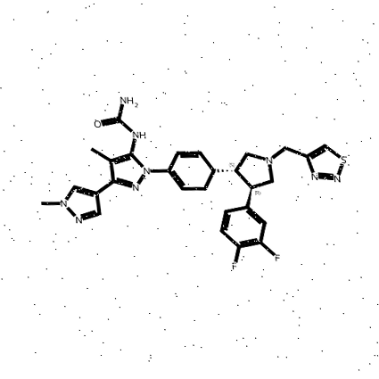 Cc1c(-c2cnn(C)c2)nn(C2=CCC([C@@H]3CN(Cc4csnn4)C[C@H]3c3ccc(F)c(F)c3)C=C2)c1NC(N)=O